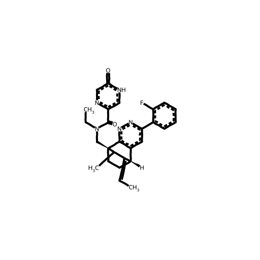 C/C=C1/C(C)[C@]2(CN(CC)C(=O)c3c[nH]c(=O)cn3)CC[C@H]1c1cc(-c3ccccc3F)nnc12